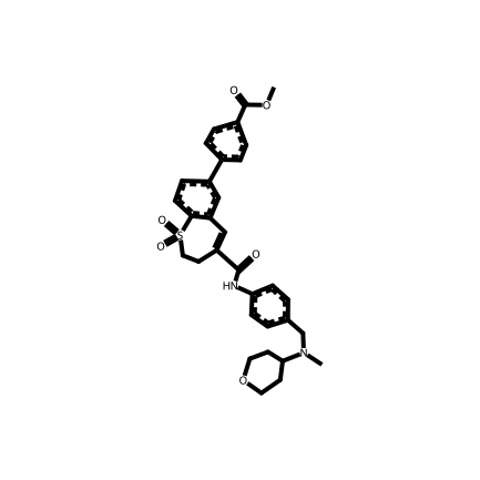 COC(=O)c1ccc(-c2ccc3c(c2)C=C(C(=O)Nc2ccc(CN(C)C4CCOCC4)cc2)CCS3(=O)=O)cc1